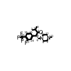 CC(C)C(=O)[C@H](CN1CCN(C)CC1)c1ccc(C(F)(F)F)c(F)c1